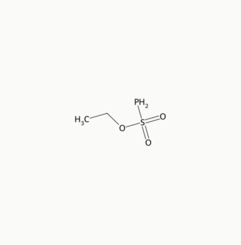 CCOS(=O)(=O)P